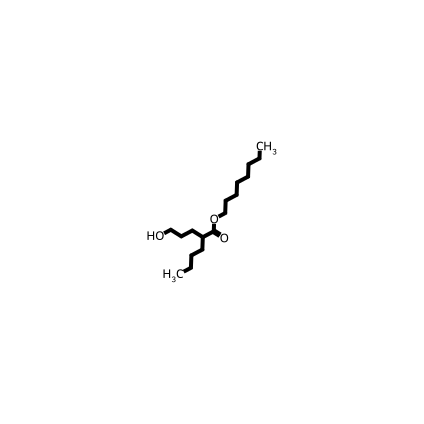 CCCCCCCCOC(=O)C(CCCC)CCCO